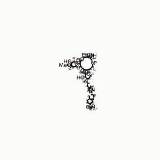 CCCS(=O)(=O)c1ccc(C[C@@H](CF)n2cc(CCN(C)[C@H]3C[C@@H](C)O[C@@H](O[C@@H]4[C@@H](C)[C@H](O[C@H]5C[C@@](C)(OC)[C@@H](O)[C@H](C)O5)[C@@H](C)C(=O)O[C@H](CC)[C@@](C)(O)[C@H](O)[C@@H](C)N(C)C[C@H](C)C[C@@]4(C)O)[C@@H]3O)nn2)cc1